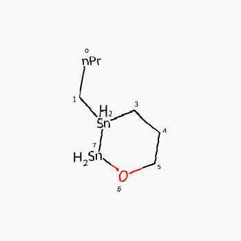 CCC[CH2][SnH]1[CH2]CC[O][SnH2]1